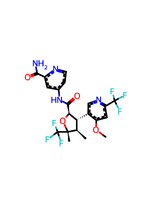 COc1cc(C(F)(F)F)ncc1[C@@H]1[C@@H](C)[C@](C)(C(F)(F)F)O[C@H]1C(=O)Nc1ccnc(C(N)=O)c1